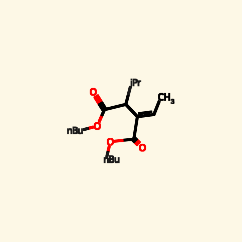 CC=C(C(=O)OCCCC)C(C(=O)OCCCC)C(C)C